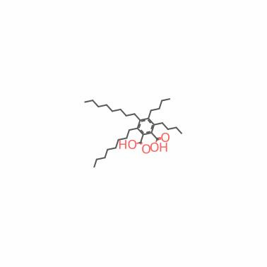 CCCCCCCCc1c(CCCC)c(CCCC)c(C(=O)O)c(C(=O)O)c1CCCCCCCC